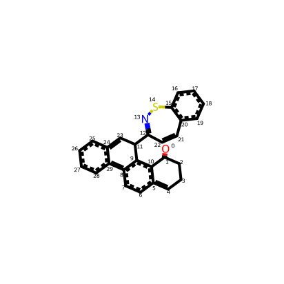 O=C1CCC=c2ccc3c(c21)C(C1=NSc2ccccc2C=C1)C=c1ccccc1=3